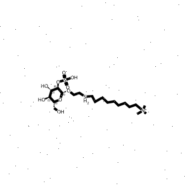 C[N+](C)(C)CCCCCCCCC[SiH2]CCO[C@@H]1O[C@H](CO)[C@@H](O)[C@H](O)[C@H]1OS(=O)(=O)O